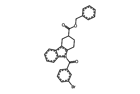 O=C(OCc1ccccc1)C1CCc2c(c3ccccc3n2C(=O)c2cccc(Br)c2)C1